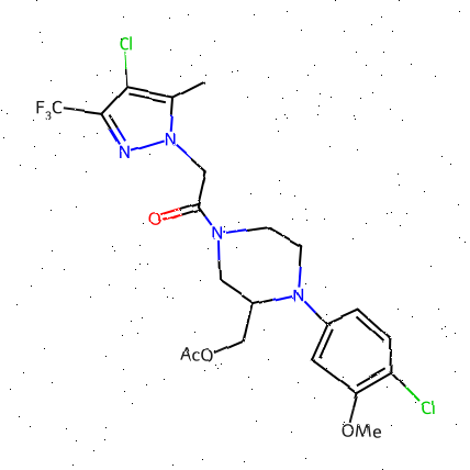 COc1cc(N2CCN(C(=O)Cn3nc(C(F)(F)F)c(Cl)c3C)CC2COC(C)=O)ccc1Cl